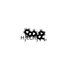 CC1(C)c2cc(-c3ccc(I)c4ccccc34)ccc2C2C=CC=C[C@@H]21